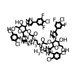 Cc1nc(C2OC(CO)C(O)C(n3cc(-c4cc(F)c(Cl)c(F)c4)nn3)C2OCC(=O)N(C)CCN(C)C(=O)COC2C(c3nc(C)nn3-c3cc(Cl)ccc3Cl)OC(CO)C(O)C2n2cc(-c3cc(F)c(Cl)c(F)c3)nn2)n(-c2cc(Cl)ccc2Cl)n1